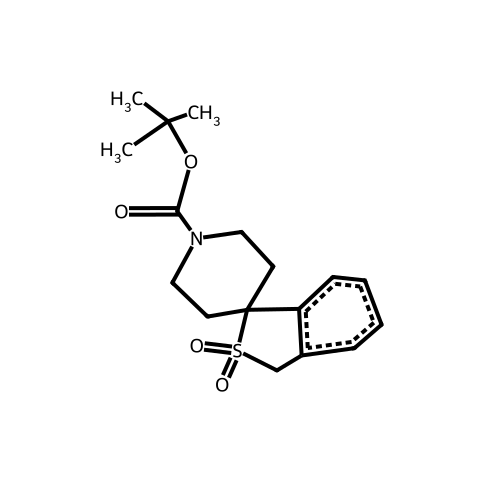 CC(C)(C)OC(=O)N1CCC2(CC1)c1ccccc1CS2(=O)=O